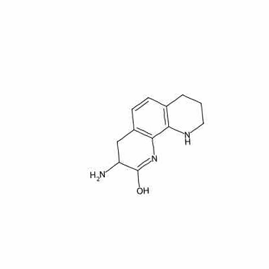 NC1Cc2ccc3c(c2N=C1O)NCCC3